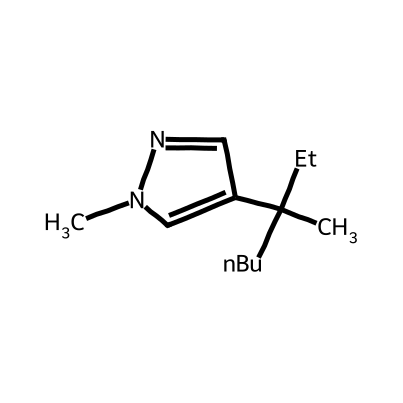 CCCCC(C)(CC)c1cnn(C)c1